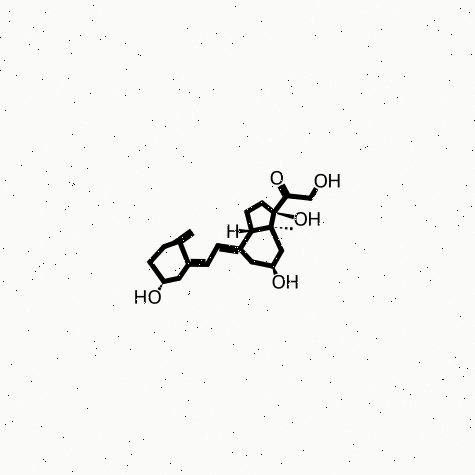 C=C1CC[C@@H](O)C/C1=C/C=C1\C[C@H](O)C[C@@]2(C)[C@H]1CC[C@]2(O)C(=O)CO